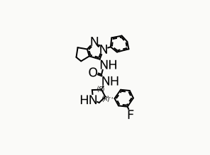 O=C(Nc1c2c(nn1-c1ccccc1)CCC2)N[C@@H]1CNC[C@H]1c1cccc(F)c1